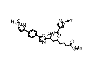 CNC(=O)CCCCCC(NC(=O)c1cnn(C(C)C)c1)c1ncc(-c2ccc(-c3ccn(C)n3)cc2)o1